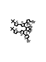 CC(C)(C)c1ccc(-c2cc(C3=C(c4cc(-c5ccc(C(C)(C)C)s5)sc4-c4ccc(Br)s4)C(F)(F)C(F)(F)C3(F)F)c(-c3ccc(Br)s3)s2)s1